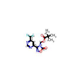 CC(C)(C)C(=O)OCn1c(-c2cc(C(F)F)ncn2)noc1=O